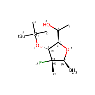 B[C@@H]1O[C@H](C(C)O)[C@@H](O[Si](C)(C)C(C)(C)C)[C@@]1(C)F